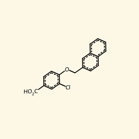 O=C(O)c1ccc(OCc2ccc3ccccc3c2)c(Cl)c1